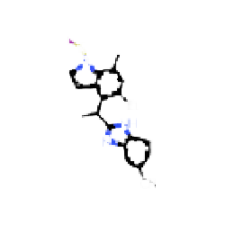 CCc1cc(C)c2c(ccn2SI)c1C(C)c1nc2cc(C#N)ccc2[nH]1